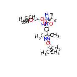 Cc1nn(COCC[Si](C)(C)C)c(C)c1-c1ccc(NC(=O)[C@@H](NC(=O)OCCCCO[Si](C)(C)C(C)(C)C)C(C2CC2)C2CC2)cc1